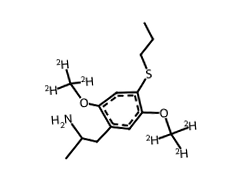 [2H]C([2H])([2H])Oc1cc(SCCC)c(OC([2H])([2H])[2H])cc1CC(C)N